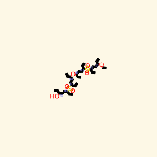 C=C/C(O)=C\C=C(/C=C)S(=O)(=O)/C(C=C)=C/C=C(\C=C)O/C(C=C)=C/C=C(\C=C)S(=O)(=O)/C(C=C)=C/C=C(\C=C)OCC